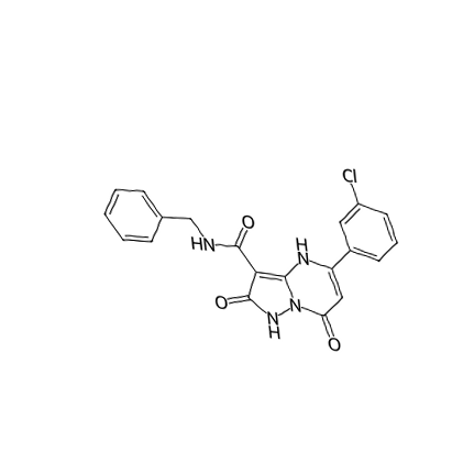 O=C(NCc1ccccc1)c1c(=O)[nH]n2c(=O)cc(-c3cccc(Cl)c3)[nH]c12